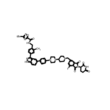 Cc1cc(-c2n[nH]c3ccc(-c4ccc(N5CCN(C6CCN(Cc7cc(F)c8c(c7)C(=O)N(C7CCC(=O)NC7=O)C8=O)CC6)CC5)cc4)cc23)ccc1CNC(=O)c1nc(C(C)(C)C)no1